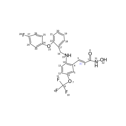 O=C(/C=C/c1cc(OC(F)(F)F)ccc1NCc1ccccc1Oc1ccc(F)cc1)NO